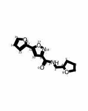 O=C(NCC1CCCO1)c1cc(-c2ccco2)on1